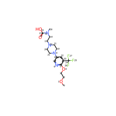 COCCOc1ncc(N2CCN(CCN(C)C(=O)O)CC2)cc1C(F)(F)F